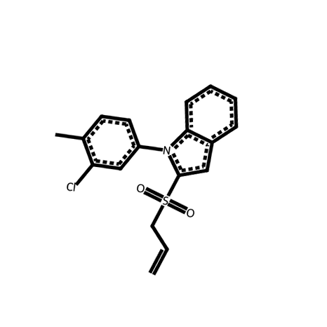 C=CCS(=O)(=O)c1cc2ccccc2n1-c1ccc(C)c(Cl)c1